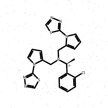 C[C@@H](c1ccccc1Cl)N(Cc1cccn1-c1nncs1)Cc1cccn1-c1nncs1